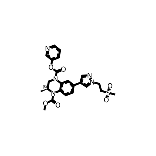 COC(=O)N1c2ccc(-c3cnn(CCS(C)(=O)=O)c3)cc2N(C(=O)Oc2cccnc2)C[C@@H]1C